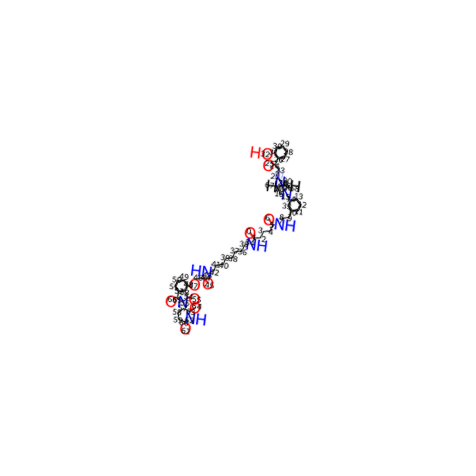 O=C(CCCC(=O)NCCc1cccc(N2C[C@H]3C[C@@H]2CN3/C=C/C(=O)c2ccccc2O)c1)NCCCCCCCCNC(=O)COc1cccc2c1C(=O)N(C1CCC(=O)NC1=O)C2=O